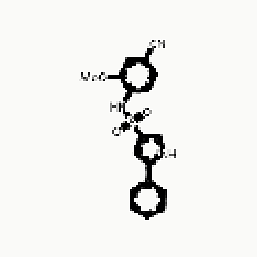 COc1cc(C#N)ccc1NS(=O)(=O)c1c[nH]c(-c2ccccc2)c1